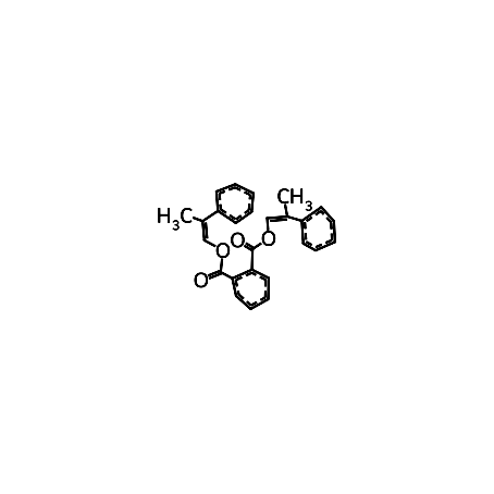 CC(=COC(=O)c1ccccc1C(=O)OC=C(C)c1ccccc1)c1ccccc1